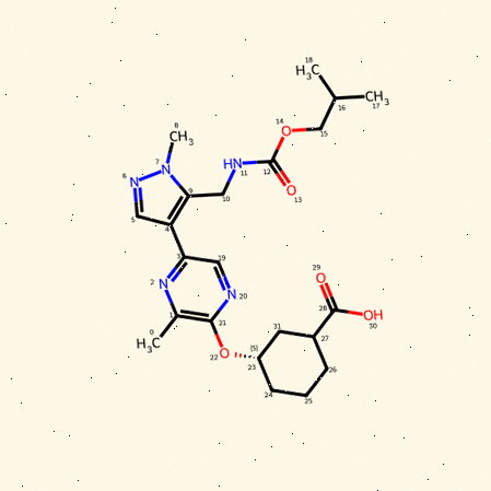 Cc1nc(-c2cnn(C)c2CNC(=O)OCC(C)C)cnc1O[C@H]1CCCC(C(=O)O)C1